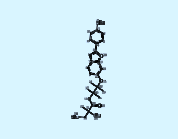 CCCCc1ccc(-c2cc3ccc(OC(C)(C)C(C)(C)OC(=O)C(C)(CC(C)(C)C)C(C)(C)C)cc3o2)cc1